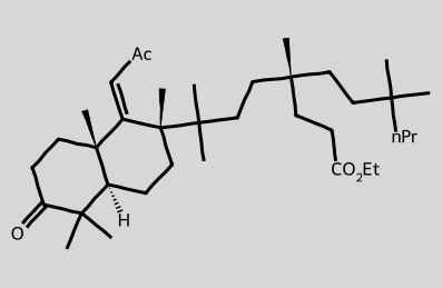 CCCC(C)(C)CC[C@](C)(CCC(=O)OCC)CCC(C)(C)[C@]1(C)CC[C@H]2C(C)(C)C(=O)CC[C@]2(C)/C1=C/C(C)=O